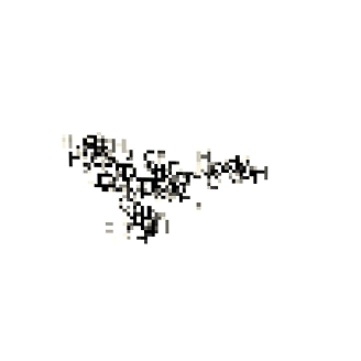 CC(C)(C#Cc1ccc(-c2ccc(Cl)c3c(N(C(=O)OCCNC(=O)OCOP(=O)(O)O)S(C)(=O)=O)nn(CC(F)(F)F)c23)c([C@H](Cc2cc(F)cc(F)c2)NC(=O)Cn2nc(C(F)(F)F)c3c2C(F)(F)[C@@H]2C[C@H]32)n1)S(C)(=O)=O